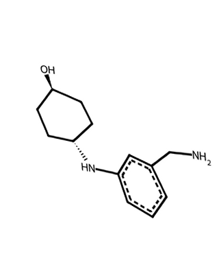 NCc1cccc(N[C@H]2CC[C@H](O)CC2)c1